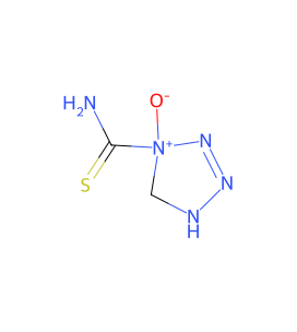 NC(=S)[N+]1([O-])CNN=N1